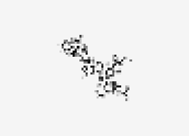 CCCC(NC(=O)[C@@H]1[C@H]2C(C(=O)OCC)[C@H]2CN1C(=O)[C@@H](NC(=O)OCC(C)C)C1CCCCC1)C(=O)C(=O)NCC(=O)NC(C(=O)N(C)C)c1ccccc1